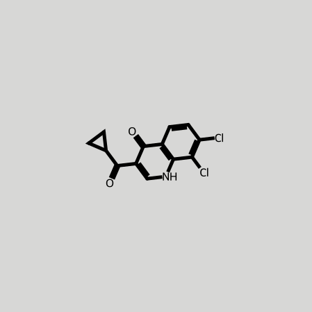 O=C(c1c[nH]c2c(Cl)c(Cl)ccc2c1=O)C1CC1